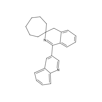 c1ccc2c(c1)CC1(CCCCCC1)N=C2c1cnc2ccccc2c1